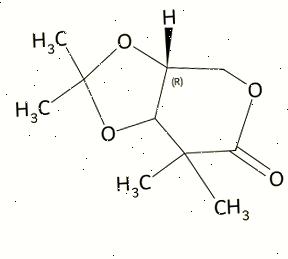 CC1(C)OC2[C@@H](COC(=O)C2(C)C)O1